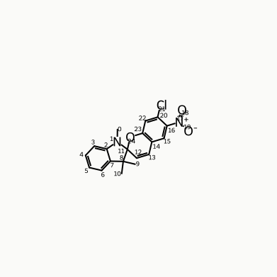 CN1c2ccccc2C(C)(C)C12C=Cc1cc([N+](=O)[O-])c(Cl)cc1O2